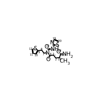 CC(C[CH]C(=O)N(CCc1cccs1)C(=O)Nc1nccs1)C(N)=O